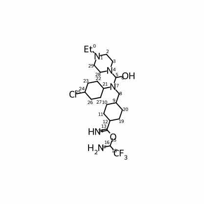 CCN1CCN(C(O)N(CC2CCC(C(=N)OC(N)C(F)(F)F)CC2)C2CCC(Cl)CC2)CC1